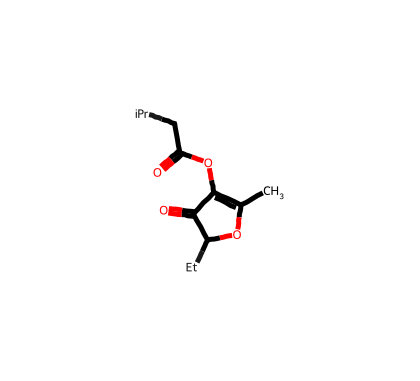 CCC1OC(C)=C(OC(=O)CC(C)C)C1=O